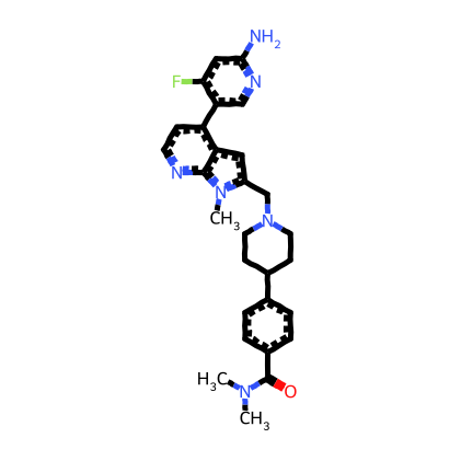 CN(C)C(=O)c1ccc(C2CCN(Cc3cc4c(-c5cnc(N)cc5F)ccnc4n3C)CC2)cc1